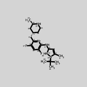 CC1=CC(Nc2nc(C[C@H]3CCN[C@H](C)C3)c(F)cc2F)NN1C(C)(C)C